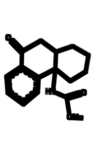 COC(=O)NC12CCCCC1CC(=O)c1ccccc12